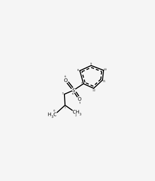 CC(C)CS(=O)(=O)c1ccccc1